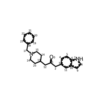 O=C(Cc1ccc2[nH]ccc2c1)CC1CCN(Cc2ccccc2)CC1